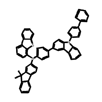 CC1(C)c2ccccc2-c2ccc(N(c3ccc(-c4ccc5c(c4)c4ccccc4n5-c4ccc(-c5ccccc5)cc4)cc3)c3cccc4c3sc3ccccc34)cc21